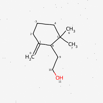 C=C1CCCC(C)(C)C1CCO